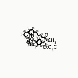 CCOC(=O)C[C@@H](c1ccc(C)c(F)c1)N(C)C(=O)CCCCc1ccc2c(n1)N(C(=O)OC(C)(C)C)CCC2